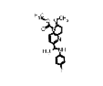 CCOC(=O)N1c2ccc(C(C)Nc3ccc(F)cc3)nc2CCC1OC